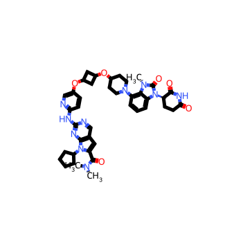 CN(C)C(=O)c1cc2cnc(Nc3ccc(OC4CC(OC5CCN(c6cccc7c6n(C)c(=O)n7[C@@H]6CCC(=O)NC6=O)CC5)C4)cn3)nc2n1C1CCCC1